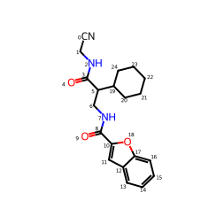 N#CCNC(=O)C(CNC(=O)c1cc2ccccc2o1)C1CCCCC1